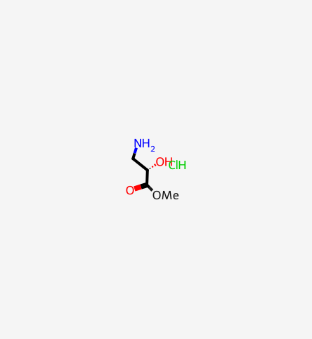 COC(=O)[C@@H](O)CN.Cl